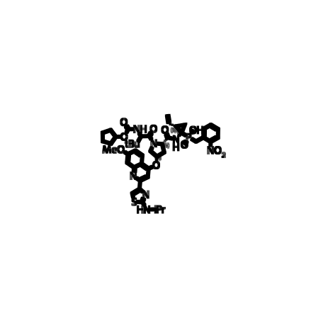 C=C[C@@H]1C[C@]1(NC(=O)[C@@H]1C[C@@H](Oc2cc(-c3csc(NC(C)C)n3)nc3cc(OC)ccc23)CN1C(=O)C(NC(=O)OC1CCCC1)C(C)(C)C)P(=O)(O)Cc1ccccc1[N+](=O)[O-]